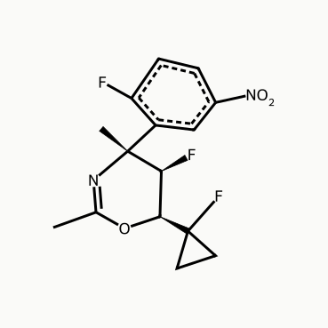 CC1=N[C@](C)(c2cc([N+](=O)[O-])ccc2F)[C@@H](F)[C@@H](C2(F)CC2)O1